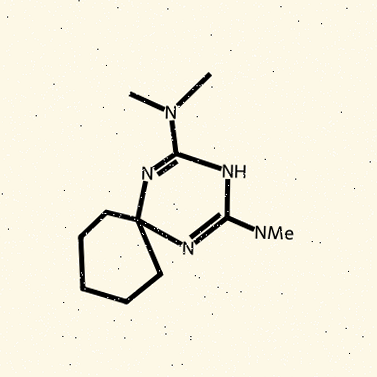 CNC1=NC2(CCCCC2)N=C(N(C)C)N1